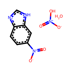 O.O=[N+]([O-])O.O=[N+]([O-])c1ccc2nc[nH]c2c1